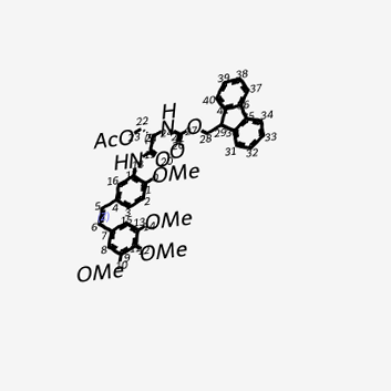 COc1ccc(/C=C\c2cc(OC)c(OC)c(OC)c2)cc1NC(=O)[C@H](COC(C)=O)NC(=O)OCC1c2ccccc2-c2ccccc21